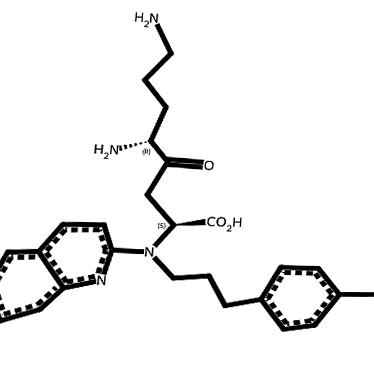 Cc1ccc(CCCN(c2ccc3ccccc3n2)[C@@H](CC(=O)[C@H](N)CCCN)C(=O)O)cc1